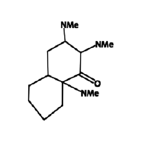 CNC1CC2CCCCC2(NC)C(=O)C1NC